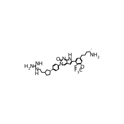 C[C@H](N)CCCc1cc(OC(F)(F)F)c(F)c(-c2cc3cn(-c4ccc([C@H]5CCC(CCNC(=N)N)C5)cc4)c(=O)nc3[nH]2)c1